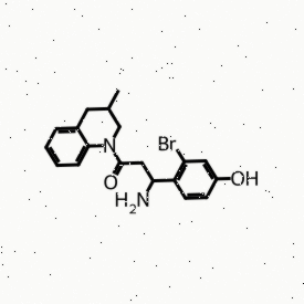 CC1Cc2ccccc2N(C(=O)CC(N)c2ccc(O)cc2Br)C1